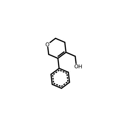 OCC1=C(c2ccccc2)COCC1